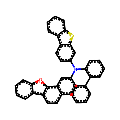 c1ccc(-c2ccccc2N(c2ccc3c(c2)sc2ccccc23)c2ccc3ccc4c5ccccc5oc4c3c2)cc1